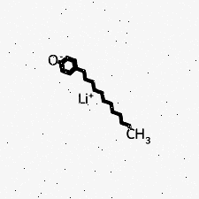 CCCCCCCCCCCCc1ccc([O-])cc1.[Li+]